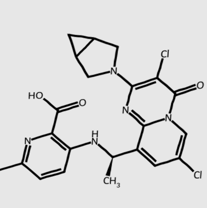 C[C@@H](Nc1ccc(Cl)nc1C(=O)O)c1cc(Cl)cn2c(=O)c(Cl)c(N3CC4CC4C3)nc12